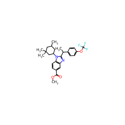 COC(=O)c1ccc2c(c1)nc(C(C)c1ccc(OC(F)(F)F)cc1)n2C1CC(C)CC(C)(C)C1